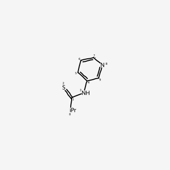 CC(C)C(=S)Nc1cc[c]nc1